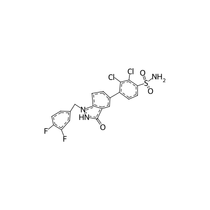 NS(=O)(=O)c1ccc(-c2ccc3c(c2)c(=O)[nH]n3Cc2ccc(F)c(F)c2)c(Cl)c1Cl